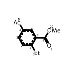 CCc1ccc(C(C)=O)cc1C(=O)OC